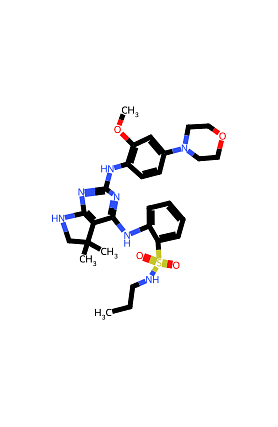 CCCNS(=O)(=O)c1ccccc1Nc1nc(Nc2ccc(N3CCOCC3)cc2OC)nc2c1C(C)(C)CN2